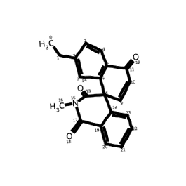 CCc1ccc2c(c1)C1(C=CC2=O)C(=O)N(C)C(=O)c2ccccc21